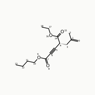 C=C(C)C[C@H](C#CC(=O)OCCCC)C(=O)OCC